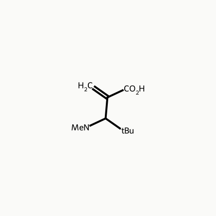 C=C(C(=O)O)C(NC)C(C)(C)C